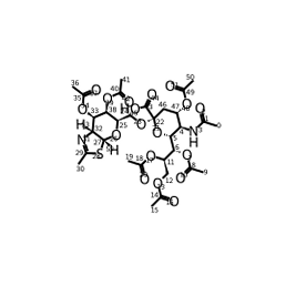 CC(=O)N[C@H]1[C@H]([C@H](OC(C)=O)[C@@H](COC(C)=O)OC(C)=O)O[C@@](OC[C@H]2O[C@@H]3SC(C)=N[C@@H]3[C@@H](OC(C)=O)[C@H]2OC(C)=O)(C(=O)O)C[C@@H]1OC(C)=O